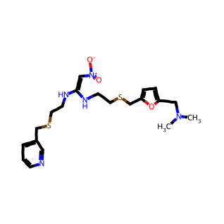 CN(C)Cc1ccc(CSCCNC(=C[N+](=O)[O-])NCCSCc2cccnc2)o1